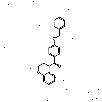 O=C(c1ccc(OCc2ccccc2)cc1)N1CCOc2ccccc21